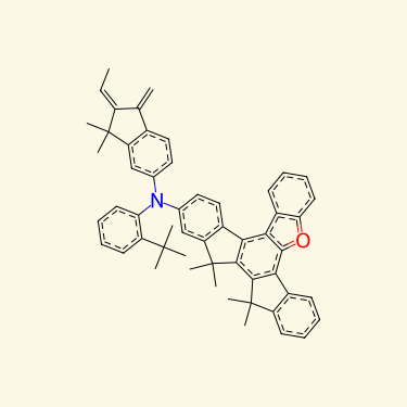 C=C1/C(=C\C)C(C)(C)c2cc(N(c3ccc4c(c3)C(C)(C)c3c5c(c6oc7ccccc7c6c3-4)-c3ccccc3C5(C)C)c3ccccc3C(C)(C)C)ccc21